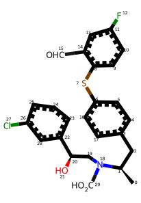 C[C@H](Cc1ccc(Sc2ccc(F)cc2C=O)cc1)N(C[C@@H](O)c1cccc(Cl)c1)C(=O)O